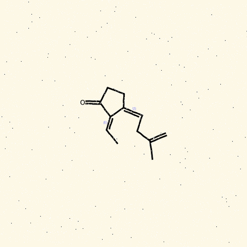 C=C(C)C/C=C1/CCC(=O)/C1=C/C